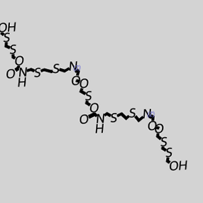 O=C(NCSCCSC/N=C\OOCSCSCO)OCSCOO/C=N\CSCCSCNC(=O)OCSCSCO